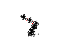 CC(C)COP(=S)([S-])OCC(C)C.CC(C)COP(=S)([S-])OCC(C)C.CC(C)COP(=S)([S-])OCC(C)C.CC(C)COP(=S)([S-])OCC(C)C.CC(C)COP(=S)([S-])OCC(C)C.CC(C)COP(=S)([S-])OCC(C)C.[Mo+6]